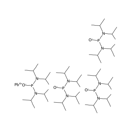 CC(C)N(C(C)C)P([O-])N(C(C)C)C(C)C.CC(C)N(C(C)C)P([O-])N(C(C)C)C(C)C.CC(C)N(C(C)C)P([O-])N(C(C)C)C(C)C.CC(C)N(C(C)C)P([O-])N(C(C)C)C(C)C.[Pb+4]